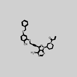 C=CC(=O)N1CCCC(n2nc(C#CCOc3cc(OCc4ccccc4)ccc3C#N)c3c(N)ncnc32)C1